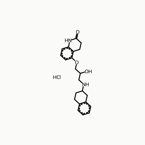 Cl.O=C1CCc2c(cccc2OCC(O)CNC2CCc3ccccc3C2)N1